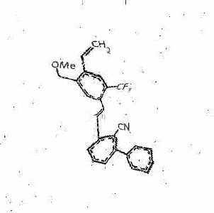 C=Cc1cc(C(F)(F)F)c(/C=C/c2cccc(-c3ccccc3)c2C#N)cc1COC